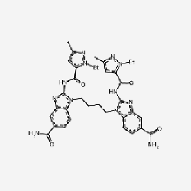 CCn1nc(C)cc1C(=O)Nc1nc2cc(C(N)=O)ccc2n1CCCCn1c(NC(=O)c2cc(C)nn2CC)nc2cc(C(N)=O)ccc21